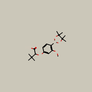 COc1cc(OC(C(=O)O)C(C)(C)C)ccc1B1OC(C)(C)C(C)(C)O1